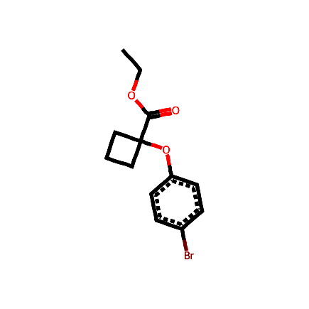 CCOC(=O)C1(Oc2ccc(Br)cc2)CCC1